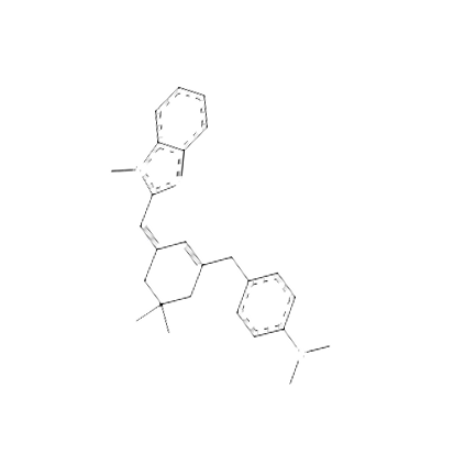 CN(C)c1ccc(CC2=C/C(=C\c3sc4ccccc4[n+]3C)CC(C)(C)C2)cc1